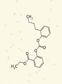 CCCCc1ccccc1OC(=O)Oc1ccccc1C(=O)OCC